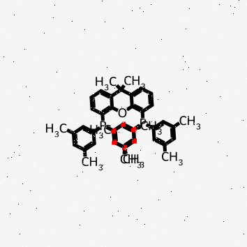 Cc1cc(C)cc(P(c2cc(C)cc(C)c2)c2cccc3c2Oc2c(P(c4cc(C)cc(C)c4)c4cc(C)cc(C)c4)cccc2C3(C)C)c1